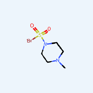 CN1CCN(S(=O)(=O)Br)CC1